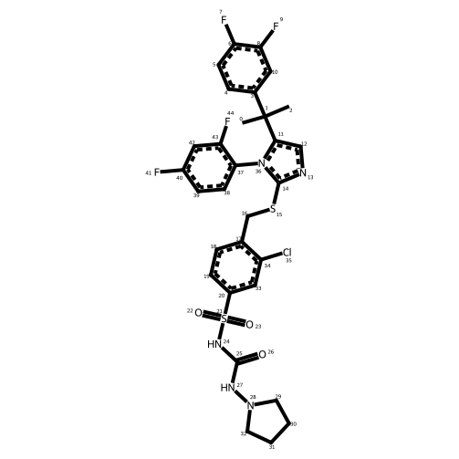 CC(C)(c1ccc(F)c(F)c1)c1cnc(SCc2ccc(S(=O)(=O)NC(=O)NN3CCCC3)cc2Cl)n1-c1ccc(F)cc1F